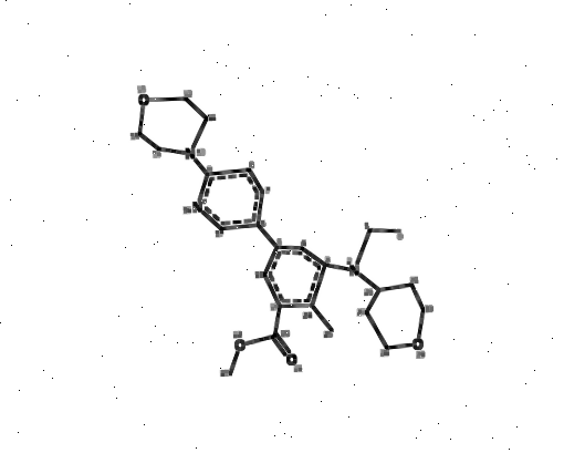 CCN(c1cc(-c2ccc(N3CCOCC3)nc2)cc(C(=O)OC)c1C)C1CCOCC1